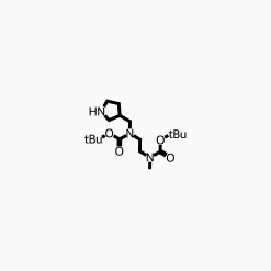 CN(CCN(CC1CCNC1)C(=O)OC(C)(C)C)C(=O)OC(C)(C)C